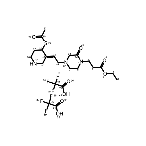 CCOC(=O)CCN1CCN(C/C=C2\CNCCC2SC(C)=O)CC1=O.O=C(O)C(F)(F)F.O=C(O)C(F)(F)F